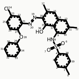 Cc1ccc(S(=O)(=O)Nc2cc(C)cc3cc(C)c(/N=N/c4cc(Cl)ccc4Oc4ccccc4)c(O)c23)cc1